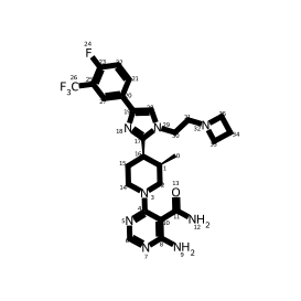 C[C@H]1CN(c2ncnc(N)c2C(N)=O)CC[C@H]1c1nc(-c2ccc(F)c(C(F)(F)F)c2)cn1CCN1CCC1